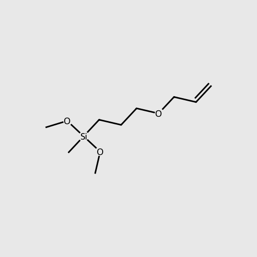 C=CCOCCC[Si](C)(OC)OC